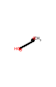 COc1ccc(CCCC=CC=CC=CCCCC(=O)O)cc1